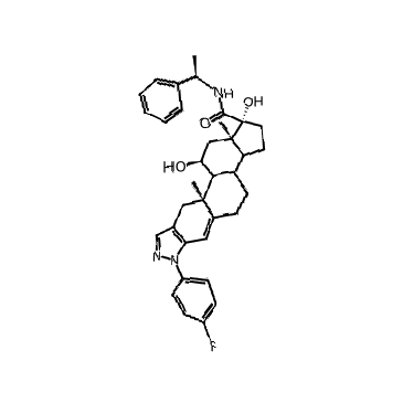 C[C@@H](NC(=O)[C@@]1(O)CCC2C3CCC4=Cc5c(cnn5-c5ccc(F)cc5)C[C@]4(C)C3[C@@H](O)C[C@@]21C)c1ccccc1